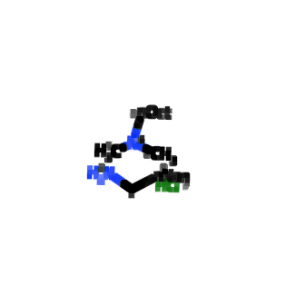 CCCCCCCCCCN.CCCCCCCCN(C)C.Cl